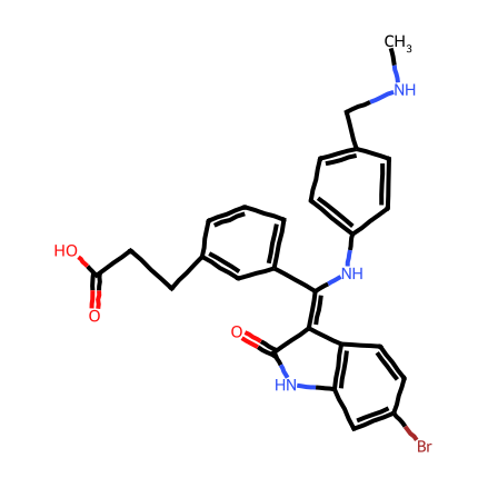 CNCc1ccc(NC(=C2C(=O)Nc3cc(Br)ccc32)c2cccc(CCC(=O)O)c2)cc1